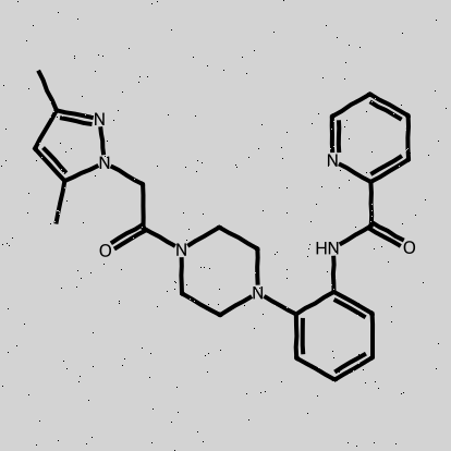 Cc1cc(C)n(CC(=O)N2CCN(c3ccccc3NC(=O)c3ccccn3)CC2)n1